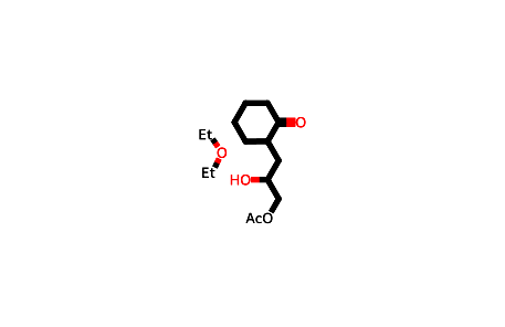 CC(=O)OCC(O)CC1CCCCC1=O.CCOCC